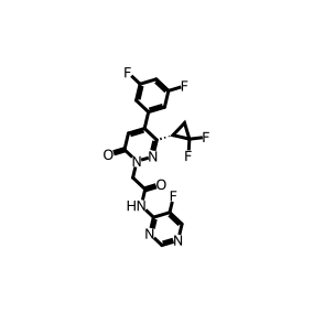 O=C(Cn1nc([C@@H]2CC2(F)F)c(-c2cc(F)cc(F)c2)cc1=O)Nc1ncncc1F